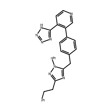 CCCn1nc(CCC(C)C)nc1Cc1ccc(-c2cnccc2-c2nnn[nH]2)cc1